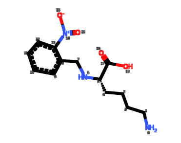 NCCCC[C@H](NCc1ccccc1[N+](=O)[O-])C(=O)O